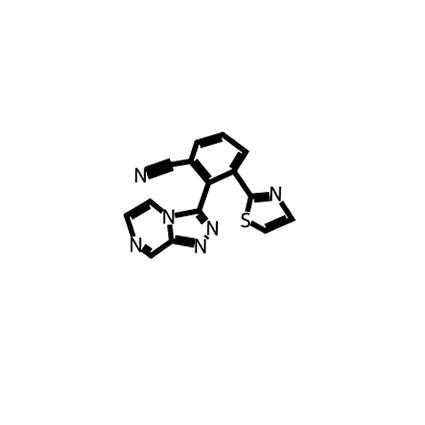 N#Cc1cccc(-c2nccs2)c1-c1nnc2cnccn12